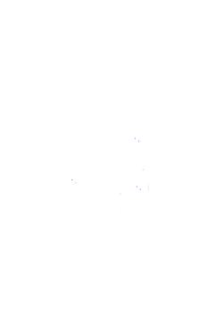 CC1(NC(=O)O)CNC(C(c2ccc(Cl)nc2)C(F)(F)F)C1